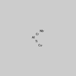 [Al].[Cr].[Cu].[Nb].[Ti]